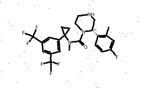 Cc1cc(F)ccc1[C@H]1CNCCN1C(=O)N(C)C1(c2cc(C(F)(F)F)cc(C(F)(F)F)c2)CC1